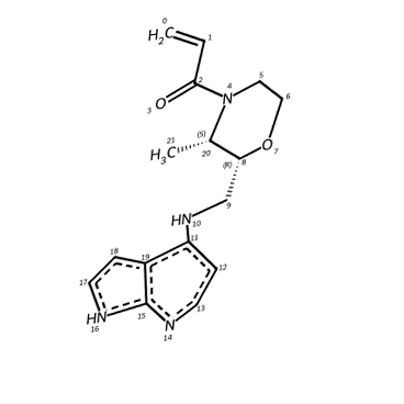 C=CC(=O)N1CCO[C@H](CNc2ccnc3[nH]ccc23)[C@@H]1C